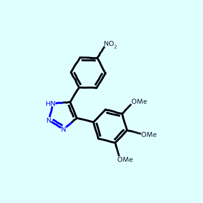 COc1cc(-c2nn[nH]c2-c2ccc([N+](=O)[O-])cc2)cc(OC)c1OC